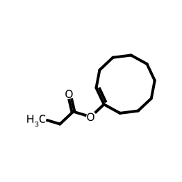 CCC(=O)OC1=CCCCCCCCC1